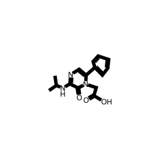 CC(C)Nc1ncc(-c2ccccc2)n(CC(=O)O)c1=O